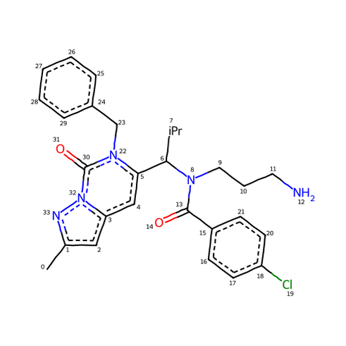 Cc1cc2cc(C(C(C)C)N(CCCN)C(=O)c3ccc(Cl)cc3)n(Cc3ccccc3)c(=O)n2n1